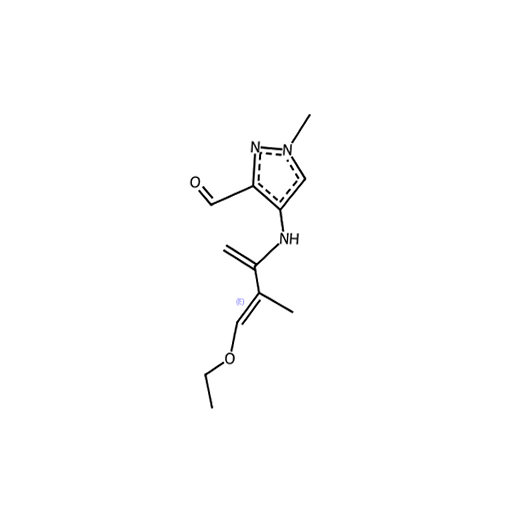 C=C(Nc1cn(C)nc1C=O)/C(C)=C/OCC